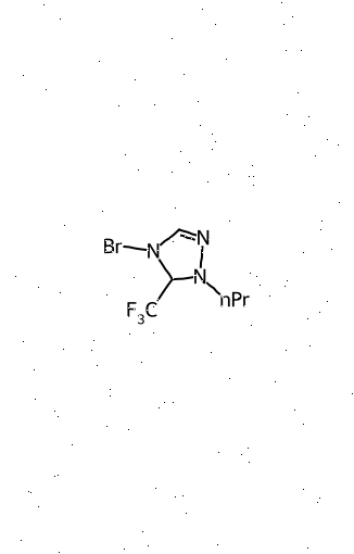 CCCN1N=CN(Br)C1C(F)(F)F